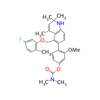 COc1cc(OC(=O)N(C)C)ccc1-c1ccc2c(c1COc1cc(F)ccc1C)C(C)=CC(C)(C)N2